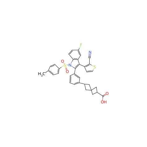 Cc1ccc(S(=O)(=O)n2c(-c3cccc(C4CC5(CC(C(=O)O)C5)C4)c3)c(-c3ccsc3C#N)c3cc(F)ccc32)cc1